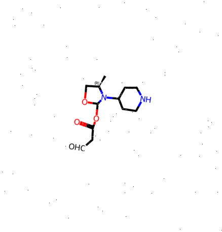 C[C@@H]1COC(OC(=O)CC=O)N1C1CCNCC1